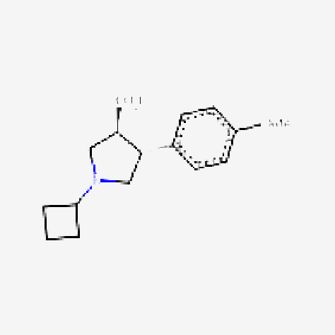 COc1ccc([C@@H]2CN(C3CCC3)C[C@H]2C(=O)O)cc1